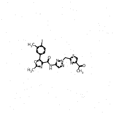 CC(=O)c1csc(Cn2ncc(NC(=O)c3nc(C)oc3-c3ccc(I)c(C)c3)n2)n1